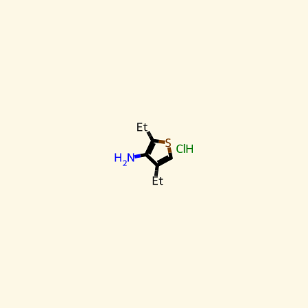 CCc1csc(CC)c1N.Cl